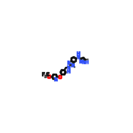 Cc1cc(Nc2ccc3nc(NCc4ccc(Oc5ccc(OC(F)(F)F)cn5)cc4)n(C)c3c2)n[nH]1